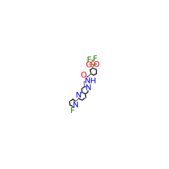 O=C(NCc1cc2nc(-c3cccc(F)n3)ccc2cn1)c1cccc(S(=O)(=O)C(F)F)c1